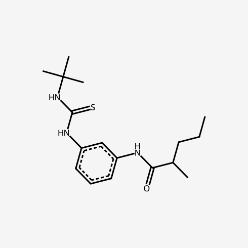 CCCC(C)C(=O)Nc1cccc(NC(=S)NC(C)(C)C)c1